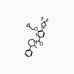 CC1C(c2ccccc2)CCCN1C(=O)c1ccc(N2CC(F)(F)C2)c(OCC2CC2)n1